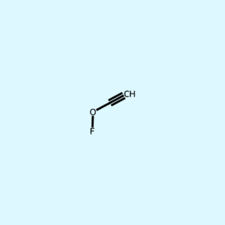 C#COF